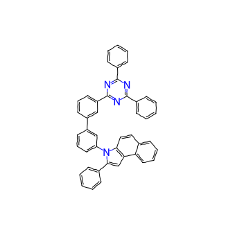 c1ccc(-c2nc(-c3ccccc3)nc(-c3cccc(-c4cccc(-n5c(-c6ccccc6)cc6c7ccccc7ccc65)c4)c3)n2)cc1